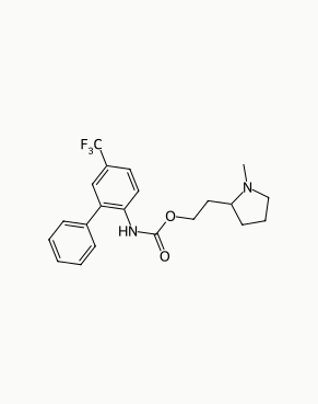 CN1CCCC1CCOC(=O)Nc1ccc(C(F)(F)F)cc1-c1ccccc1